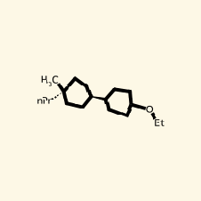 CCC[C@]1(C)CC[C@@H](C2CCC(OCC)CC2)CC1